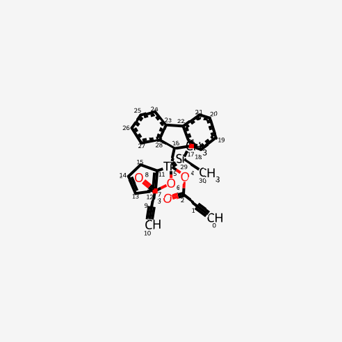 C#CC(=O)[O][Ti]([O]C(=O)C#C)([C]1=CC=CC1)([CH]1c2ccccc2-c2ccccc21)=[Si](C)C